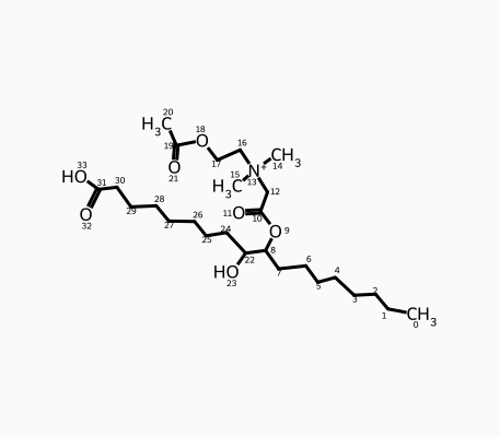 CCCCCCCCC(OC(=O)C[N+](C)(C)CCOC(C)=O)C(O)CCCCCCCC(=O)O